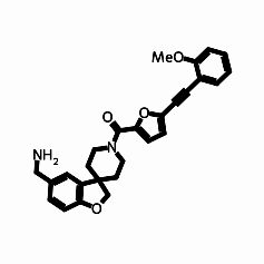 COc1ccccc1C#Cc1ccc(C(=O)N2CCC3(CC2)COc2ccc(CN)cc23)o1